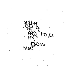 CCOC(=O)CCC1CC(N(C)C[C@H]2C[C@@H](n3cnc4c(NCc5ccc(OC)cc5OC)ncnc43)[C@@H]3OC(C)(C)O[C@H]23)C1